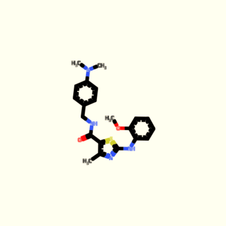 COc1ccccc1Nc1nc(C)c(C(=O)NCc2ccc(N(C)C)cc2)s1